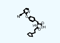 N#Cc1cccnc1Oc1ccc(C=C(NC(=O)CCC2CCCC2)C(=O)O)cc1